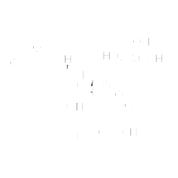 CC(C)[C@]12O[C@H]1[C@@H]1O[C@]13[C@]1(O[C@H]1C[C@H]1C4=C(CC[C@@]13C)C(=O)OC4)[C@@H]2OCC[Si](C)(C)O